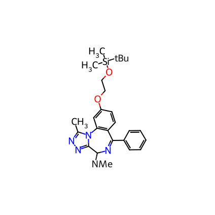 CNC1N=C(c2ccccc2)c2ccc(OCCO[Si](C)(C)C(C)(C)C)cc2-n2c(C)nnc21